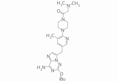 CC[C@H](C)Oc1nc(N)c2ncc(Cc3cnc(N4CCN(C(=O)CN(C)C)CC4)c(C)c3)n2n1